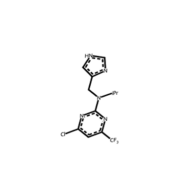 CC(C)N(Cc1c[nH]cn1)c1nc(Cl)cc(C(F)(F)F)n1